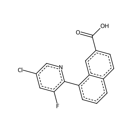 O=C(O)c1ccc2cccc(-c3ncc(Cl)cc3F)c2c1